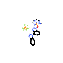 CN(C)[P+](On1nnc2c(-n3nnc4ccccc43)cccc21)(N(C)C)N(C)C.F[P-](F)(F)(F)(F)F